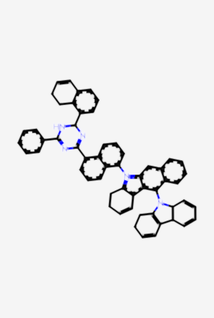 C1=CC2C3=C(CCC=C3)N(c3c4ccccc4cc4c3c3c(n4-c4cccc5c(C6=NC(c7cccc8c7CCC=C8)NC(c7ccccc7)=N6)cccc45)CCC=C3)C2C=C1